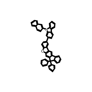 c1ccc(C2(c3ccccc3)c3ccccc3-c3cc4c(cc32)oc2ccc(-c3ccc5c6ccccc6n(-c6ccc7ccccc7c6)c5c3)cc24)cc1